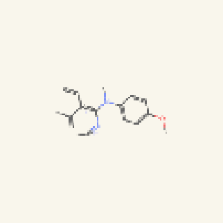 C=C/C(C(=C)C)=C(/N=C\C)N(C)c1ccc(OC)cc1